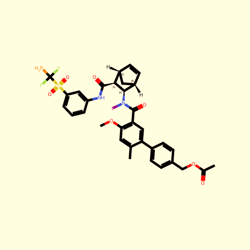 COc1cc(C)c(-c2ccc(COC(C)=O)cc2)cc1C(=O)N(I)[C@H]1[C@@H](C(=O)Nc2cccc(S(=O)(=O)C(F)(F)P)c2)[C@@H]2C=C[C@H]1C2